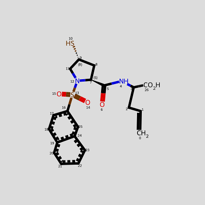 C=CCC(NC(=O)[C@@H]1C[C@@H](S)CN1S(=O)(=O)c1ccc2ccccc2c1)C(=O)O